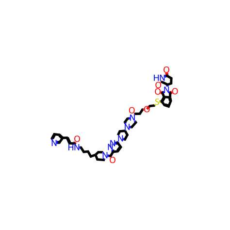 O=C(/C=C/c1cccnc1)NCCCCC1CCN(C(=O)c2ccc(N3CCC(N4CCN(C(=O)CCOCCSc5cccc6c5C(=O)N(C5CCC(=O)NC5=O)C6=O)CC4)CC3)nn2)CC1